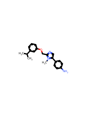 CC(C)c1cccc(OCc2ncc(-c3ccc(N)cc3)n2C)c1